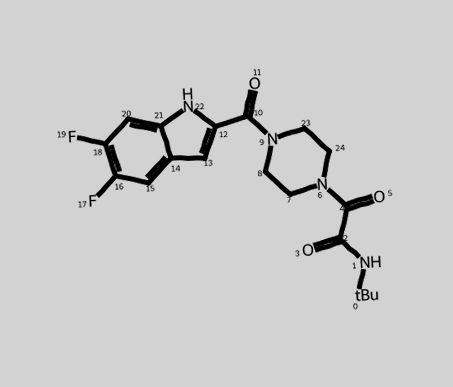 CC(C)(C)NC(=O)C(=O)N1CCN(C(=O)c2cc3cc(F)c(F)cc3[nH]2)CC1